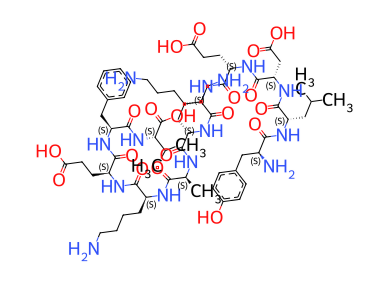 CC(C)C[C@H](NC(=O)[C@@H](N)Cc1ccc(O)cc1)C(=O)N[C@@H](CC(=O)O)C(=O)N[C@@H](CCC(=O)O)C(=O)N[C@@H](CCCCN)C(=O)N[C@@H](CCCCN)C(=O)N[C@@H](C)C(=O)N[C@@H](CCCCN)C(=O)N[C@@H](CCC(=O)O)C(=O)N[C@@H](Cc1ccccc1)C(=O)N[C@H](C(=O)O)C(C)C